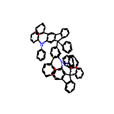 c1ccc(-c2cc3c(cc2N(c2ccccc2)c2ccccc2)C(c2ccccc2)(c2ccc(-c4ccccc4)c(N(c4ccccc4)c4cccc5c4C(c4ccccc4)(c4ccccc4)c4ccccc4-5)c2)c2ccccc2-3)cc1